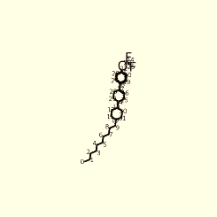 CCCCCCCCCCC1CCC(C2CC=C(c3ccc(OC(F)F)cc3)CC2)CC1